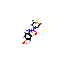 COc1ccc(NC(=O)N2CCSCC2)cc1